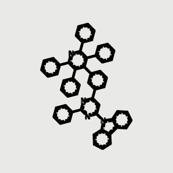 c1ccc(-c2nc(-c3cccc(-c4c(-c5ccccc5)c(-c5ccccc5)nc(-c5ccccc5)c4-c4ccccc4)c3)cc(-n3c4ccccc4c4ccccc43)n2)cc1